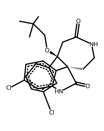 CC(C)(C)CO[C@@]1(c2cccc(Cl)c2)CC(=O)NCC[C@@]12C(=O)Nc1cc(Cl)ccc12